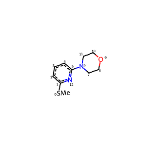 CSc1cccc(N2CCOCC2)n1